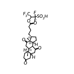 C[C@]12CCC(=O)C[C@H]1CC(=O)C1[C@@H]2CC(=O)[C@]2(C)[C@@H](CCCC(=O)OC(C(F)(F)F)C(F)(F)S(=O)(=O)O)CC[C@@H]12